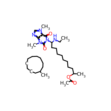 CC1CCCCCCCCCC1.CCNC(CCCCCCCCC(C)OC(C)=O)n1c(=O)c2c(ncn2C)n(C)c1=O